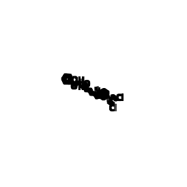 Cn1c(CCCC(=O)NCC(=O)OC2CCCCC2)cc2cc(N(CCCl)CCCl)ccc21